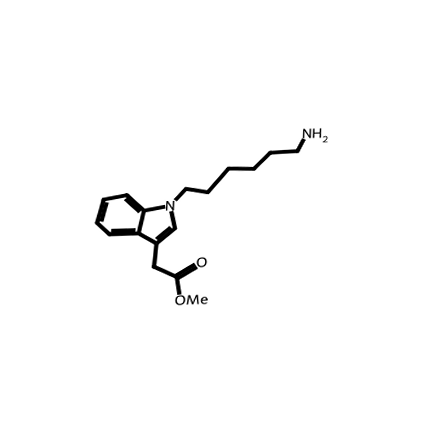 COC(=O)Cc1cn(CCCCCCN)c2ccccc12